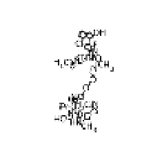 C=CC(=O)N1CCN(c2nc(O[C@H](C)CN3CCC(OCCOCCOc4cc([C@H](C(=O)N5C[C@H](O)C[C@H]5C(=O)N[C@@H](C)c5ccc(-c6scnc6C)cc5)C(C)C)on4)CC3)nc3c(F)c(-c4cc(O)cc5ccccc45)c(Cl)cc23)CC1